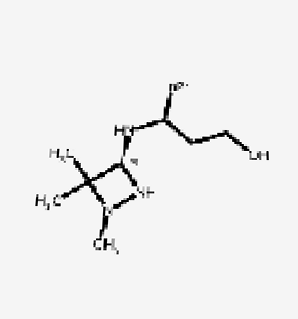 CCCC(CCO)N[C@H]1NN(C)C1(C)C